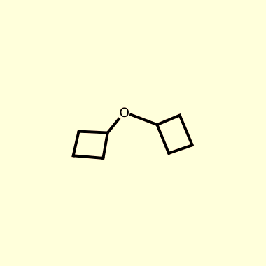 C1CC(OC2CCC2)C1